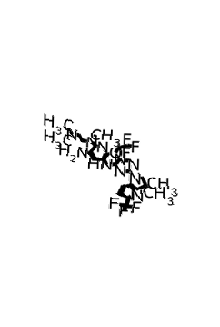 CN(C)CCN(C)c1nc(OCC(F)(F)F)c(Nc2ncnc(N3CC(C)(C)c4nc(C(F)(F)F)ccc43)n2)cc1N